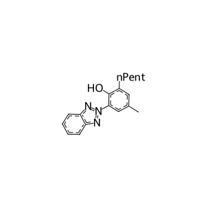 CCCCCc1cc(C)cc(-n2nc3ccccc3n2)c1O